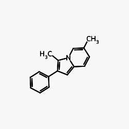 Cc1ccc2cc(-c3ccccc3)c(C)n2c1